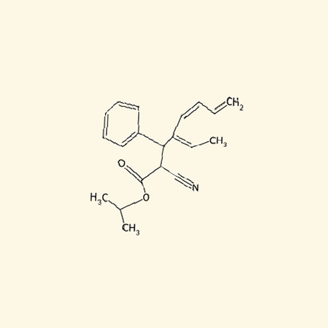 C=C/C=C\C(=C/C)C(c1ccccc1)C(C#N)C(=O)OC(C)C